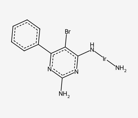 [NH2][Ir][NH]c1nc(N)nc(-c2ccccc2)c1Br